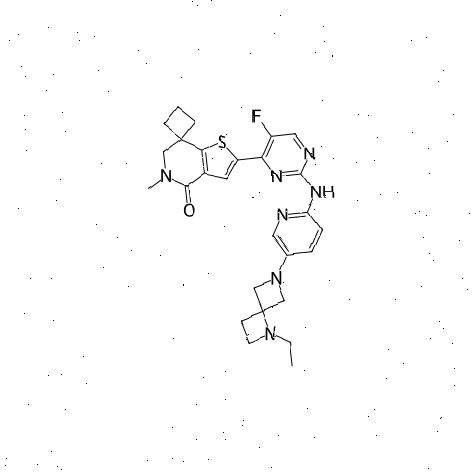 CCN1CCC12CN(c1ccc(Nc3ncc(F)c(-c4cc5c(s4)C4(CCC4)CN(C)C5=O)n3)nc1)C2